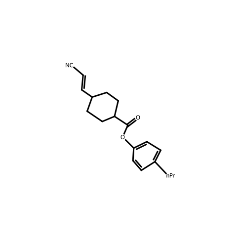 CCCc1ccc(OC(=O)C2CCC(/C=C/C#N)CC2)cc1